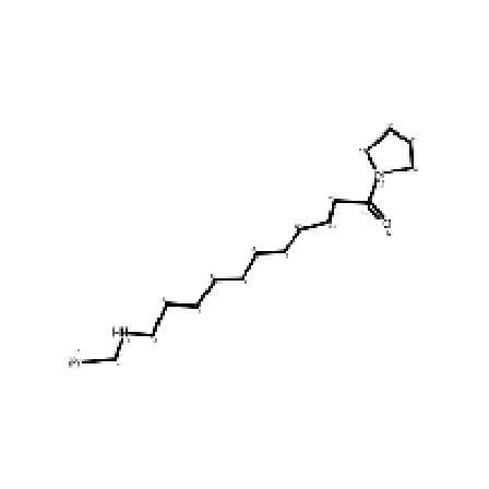 CC(C)CNCCCCCCCCCCC(=O)N1CCCC1